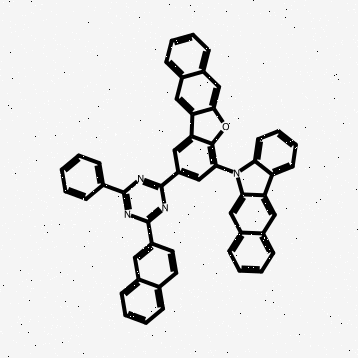 c1ccc(-c2nc(-c3ccc4ccccc4c3)nc(-c3cc(-n4c5ccccc5c5cc6ccccc6cc54)c4oc5cc6ccccc6cc5c4c3)n2)cc1